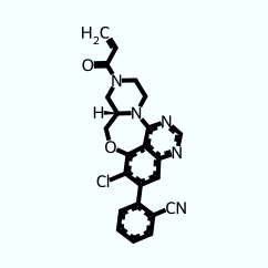 C=CC(=O)N1CCN2c3ncnc4cc(-c5ccccc5C#N)c(Cl)c(c34)OC[C@@H]2C1